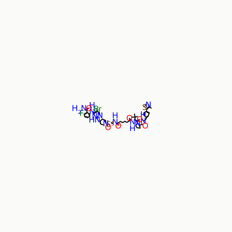 Cc1ncsc1-c1ccc(CNC(=O)C2CCCN2C(=O)C(NC(=O)CCCCC(=O)NCC[S+]([O-])N2CCC(Nc3ncc(Br)c(Nc4cccc(F)c4C(N)=O)n3)CC2)C(C)(C)C)cc1